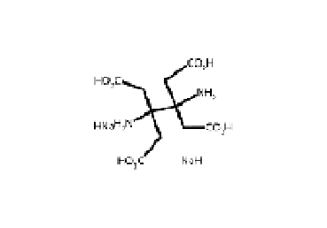 NC(CC(=O)O)(CC(=O)O)C(N)(CC(=O)O)CC(=O)O.[NaH].[NaH]